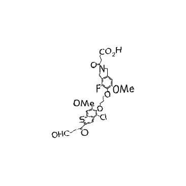 COc1cc2c(c(F)c1OCCCOc1c(OC)cc3sc(C(=O)CCC=O)cc3c1Cl)CN(C(=O)CCC(=O)O)C2